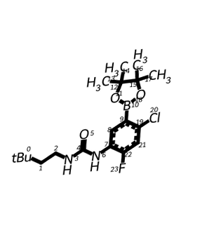 CC(C)(C)CCNC(=O)Nc1cc(B2OC(C)(C)C(C)(C)O2)c(Cl)cc1F